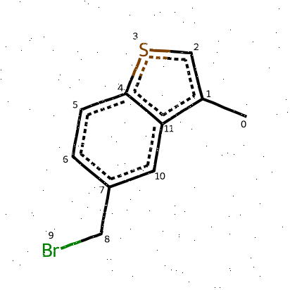 Cc1csc2ccc(CBr)cc12